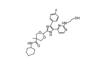 CC1(C(=O)NC2CCCCC2)COC(c2nc(-c3ccc(F)cc3)c(-c3ccnc(NCCO)n3)[nH]2)OC1